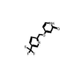 O=c1cc(OCc2ccc(C(F)(F)F)cn2)cc[nH]1